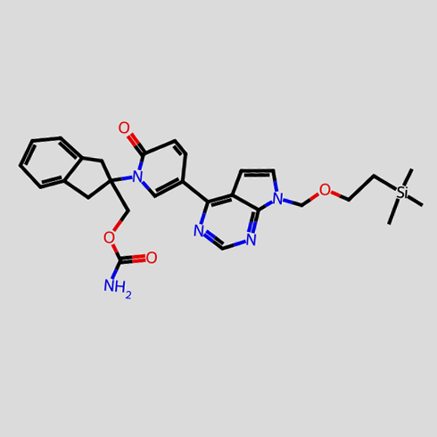 C[Si](C)(C)CCOCn1ccc2c(-c3ccc(=O)n(C4(COC(N)=O)Cc5ccccc5C4)c3)ncnc21